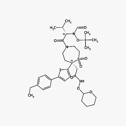 CCc1ccc(-c2ccc([C@@]3(CC(=O)NOC4CCCCO4)CCN(C(=O)[C@H](C(C)C)N(C=O)OC(C)(C)C)CCS3(=O)=O)s2)cc1